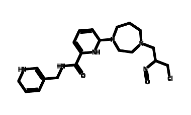 O=NC(CCl)CN1CCCN(C2C=CC=C(C(=O)NCC3=CNCC=C3)N2)CC1